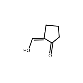 O=C1CCC/C1=C/O